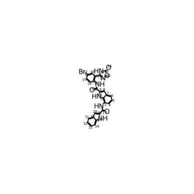 O=C(Nc1cccc2cc(C(=O)Nc3ccc(Br)cc3-c3noc(=O)[nH]3)[nH]c12)c1cc2ccccc2[nH]1